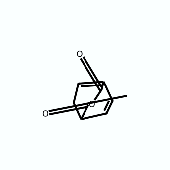 O=C1OC(=O)C2C=CC1=CC2